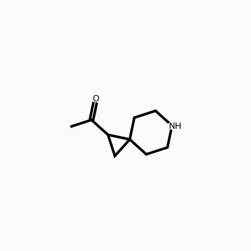 CC(=O)C1CC12CCNCC2